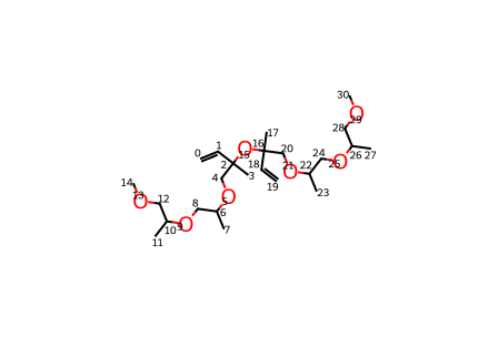 C=CC(C)(COC(C)COC(C)COC)OC(C)(C=C)COC(C)COC(C)COC